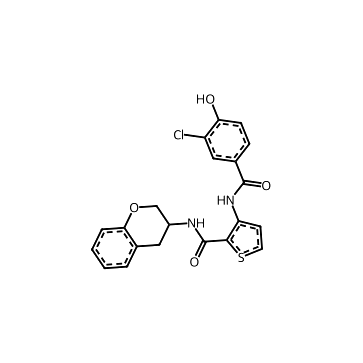 O=C(Nc1ccsc1C(=O)NC1COc2ccccc2C1)c1ccc(O)c(Cl)c1